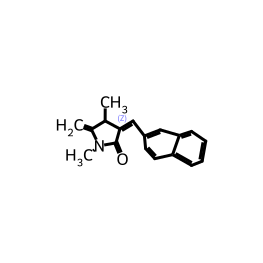 C=C1C(C)/C(=C/c2ccc3ccccc3c2)C(=O)N1C